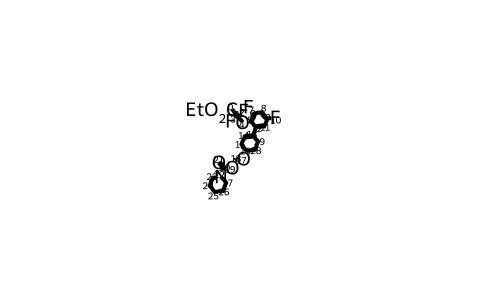 CCOC(=O)C(F)(F)Oc1c(F)cc(F)cc1C1=CCC(OCOC(=O)N2CCCCC2)CC1